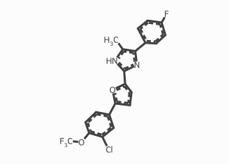 Cc1[nH]c(-c2ccc(-c3ccc(OC(F)(F)F)c(Cl)c3)o2)nc1-c1ccc(F)cc1